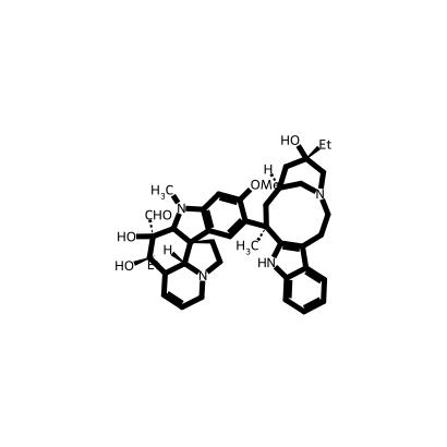 CC[C@]1(O)C[C@H]2CN(CCc3c([nH]c4ccccc34)[C@@](C)(c3cc4c(cc3OC)N(C)C3[C@]45CCN4CC=C[C@](CC)([C@@H]45)[C@@H](O)[C@]3(O)C=O)C2)C1